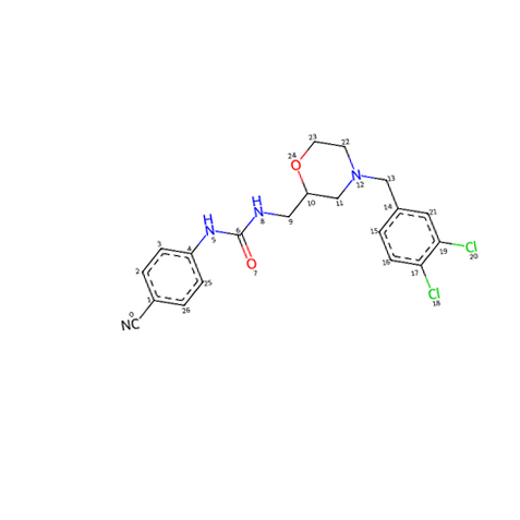 N#Cc1ccc(NC(=O)NCC2CN(Cc3ccc(Cl)c(Cl)c3)CCO2)cc1